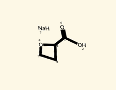 O=C(O)C1CCO1.[NaH]